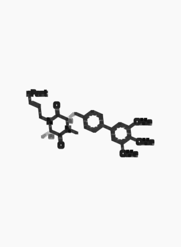 CCCCCC=CCN1C(=O)[C@H](Cc2ccc(-c3cc(OC)c(OC)c(OC)c3)cc2)N(C)C(=O)[C@@H]1C